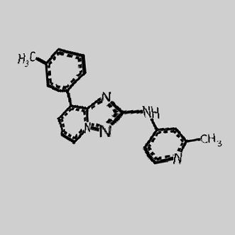 Cc1cccc(-c2cccn3nc(Nc4ccnc(C)c4)nc23)c1